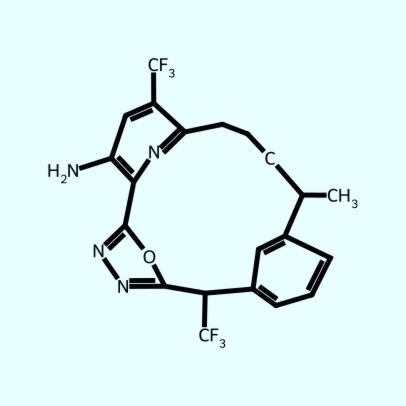 CC1CCCc2nc(c(N)cc2C(F)(F)F)-c2nnc(o2)C(C(F)(F)F)c2cccc1c2